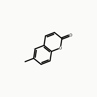 Cc1[c]c2ccc(=O)oc2cc1